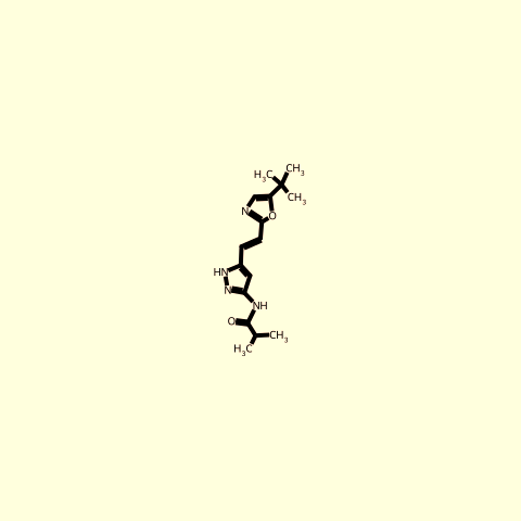 CC(C)C(=O)Nc1cc(C=Cc2ncc(C(C)(C)C)o2)[nH]n1